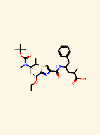 CCO[C@H](C[C@H](C(C)C)N(C)C(=O)OC(C)(C)C)c1nc(C(=O)NC(Cc2ccccc2)CC(C)C(=O)O)cs1